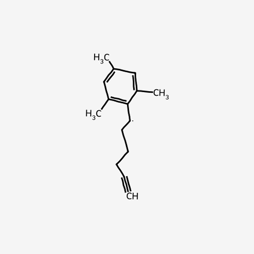 C#CCCC[CH]c1c(C)cc(C)cc1C